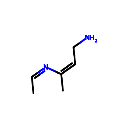 C/C=N\C(C)=C/CN